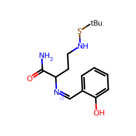 CC(C)(C)SNCCC(/N=C\c1ccccc1O)C(N)=O